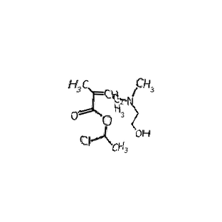 C=C(C)C(=O)OC(C)Cl.CN(C)CCO